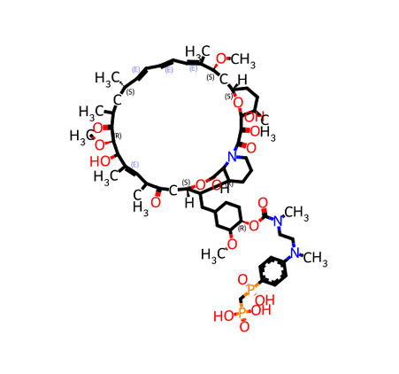 COC1CC(CC2[C@H]3CCCN4C(=O)C(=O)C5(O)O[C@@H](CCC5C)C[C@H](OC)/C(C)=C/C=C/C=C/[C@@H](C)CC(C)C(=O)[C@H](OC)C(O)/C(C)=C/C(C)C(=O)C[C@@H]2OC(=O)C34)CC[C@H]1OC(=O)N(C)CCN(C)c1ccc(P(=O)(O)CP(=O)(O)O)cc1